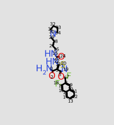 NC(=O)c1c(OC(F)c2cc3ccccc3cc2F)nsc1NC(=O)NCCCCN1CCCC1